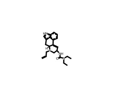 C=CCN1CC(NC(=O)N(CC)CC)C=C2c3cccc4[nH]cc(c34)C[C@H]21